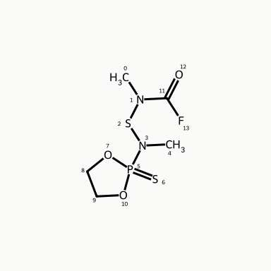 CN(SN(C)P1(=S)OCCO1)C(=O)F